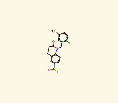 Cc1ccc(F)c(CN2C(=O)CCc3cc([N+](=O)[O-])ccc32)c1